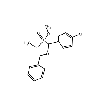 COP(=O)(OC)C(OCc1ccccc1)c1ccc(Cl)cc1